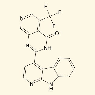 O=c1[nH]c(-c2ccnc3[nH]c4ccccc4c23)nc2cncc(C(F)(F)F)c12